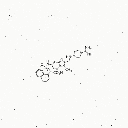 Cc1c(CNc2ccc(C(=N)N)cc2)oc2cc(NS(=O)(=O)c3cccc4c3N(CC(=O)O)CCC4)ccc12